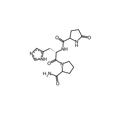 NC(=O)C1CCCN1C(=O)[C@H](Cc1cnc[nH]1)NC(=O)C1CCC(=O)N1